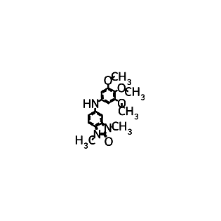 COc1cc(Nc2ccc3c(c2)n(C)c(=O)n3C)cc(OC)c1OC